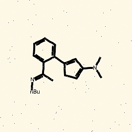 CCCC/N=C(\C)c1ccccc1C1=CC(N(C)C)=CC1